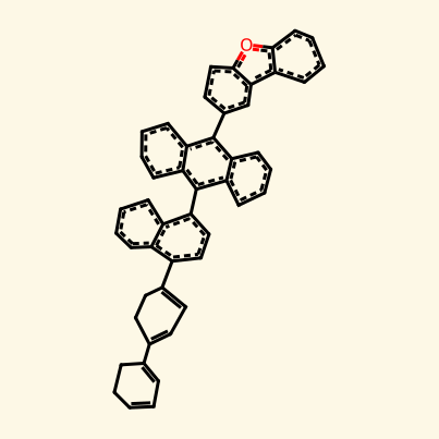 C1=CCCC(C2=CC=C(c3ccc(-c4c5ccccc5c(-c5ccc6oc7ccccc7c6c5)c5ccccc45)c4ccccc34)CC2)=C1